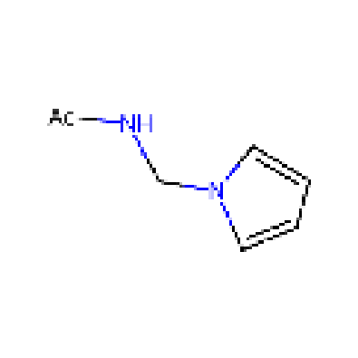 CC(=O)NCn1cccc1